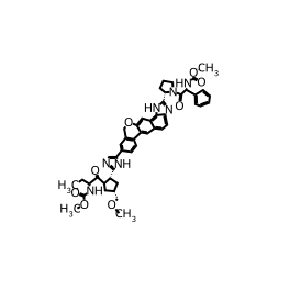 CCC(NC(=O)OC)C(=O)C1C[C@@H](COC)C[C@H]1c1ncc(-c2ccc3c(c2)COc2cc4c(ccc5nc([C@@H]6CCCN6C(=O)[C@H](NC(=O)OC)c6ccccc6)[nH]c54)cc2-3)[nH]1